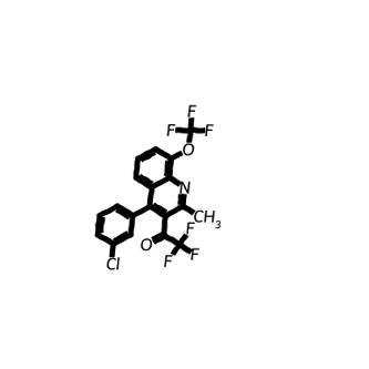 Cc1nc2c(OC(F)(F)F)cccc2c(-c2cccc(Cl)c2)c1C(=O)C(F)(F)F